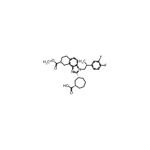 COC(=O)N1CCc2ccc3c(nc([C@@H]4CCCC[C@@H](C(=O)O)C4)n3C[C@@H](C)c3ccc(F)c(F)c3)c2C1